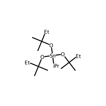 CCC(C)(C)[O][Sn]([O]C(C)(C)CC)([O]C(C)(C)CC)[CH](C)C